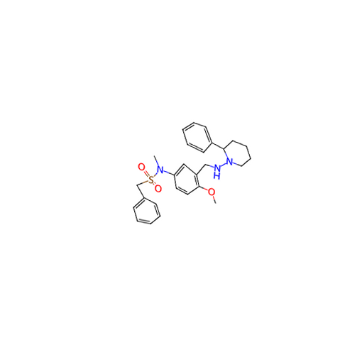 COc1ccc(N(C)S(=O)(=O)Cc2ccccc2)cc1CNN1CCCCC1c1ccccc1